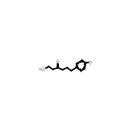 CCCC(=O)CCCc1ccc(Cl)cc1